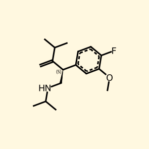 C=C(C(C)C)[C@H](CNC(C)C)c1ccc(F)c(OC)c1